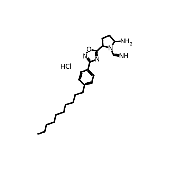 CCCCCCCCCCc1ccc(-c2noc(C3CCC(N)N3C=N)n2)cc1.Cl